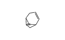 C1=CC2CCC(C1)N2